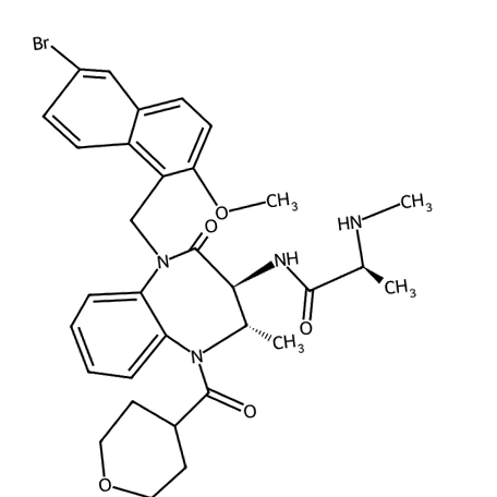 CN[C@@H](C)C(=O)N[C@@H]1C(=O)N(Cc2c(OC)ccc3cc(Br)ccc23)c2ccccc2N(C(=O)C2CCOCC2)[C@H]1C